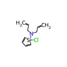 C=CCN(CC=C)[Si]1(Cl)C=CC=C1